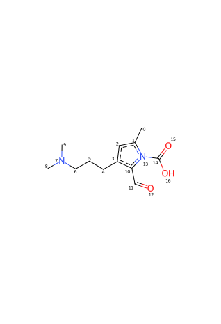 Cc1cc(CCCN(C)C)c(C=O)n1C(=O)O